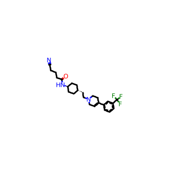 N#CCCCC(=O)N[C@H]1CC[C@H](CCN2CC=C(c3cccc(C(F)(F)F)c3)CC2)CC1